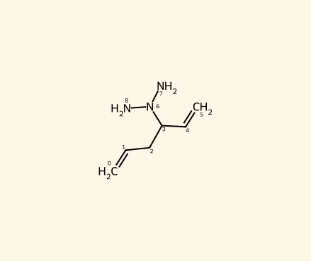 C=CCC(C=C)N(N)N